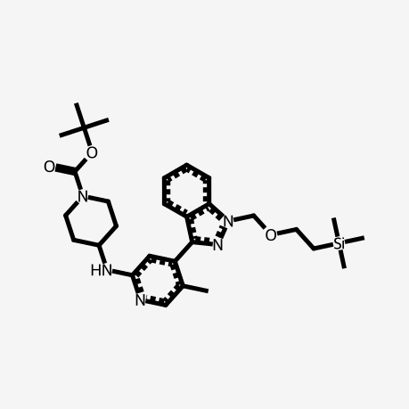 Cc1cnc(NC2CCN(C(=O)OC(C)(C)C)CC2)cc1-c1nn(COCC[Si](C)(C)C)c2ccccc12